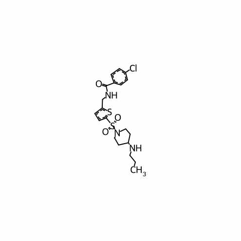 CCCNC1CCN(S(=O)(=O)c2ccc(CNC(=O)c3ccc(Cl)cc3)s2)CC1